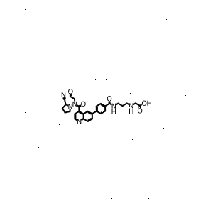 N#CC1CCCN1N(CC=O)C(=O)c1ccnc2ccc(-c3ccc(C(=O)NCCCNCC(=O)O)cc3)cc12